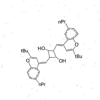 CCCc1ccc2c(c1)/C(=C/C1C(O)C(/C=C3\C=C(C(C)(C)C)Oc4ccc(CCC)cc43)C1O)C=C(C(C)(C)C)O2